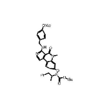 COc1ccc(CNc2nccc3c2c(=O)n(C)c2cc(ON(C(=O)OC(C)(C)C)C(C)CC(C)C)ccc32)cc1